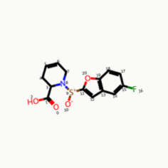 O=C(O)C1CC=CCN1[S+]([O-])c1cc2cc(F)ccc2o1